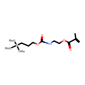 C=C(C)C(=O)OCCNC(=O)OCCC[Si](OC)(OC)OC